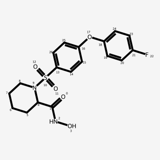 O=C(NO)C1CCCCN1S(=O)(=O)c1ccc(Oc2ccc(F)cc2)cc1